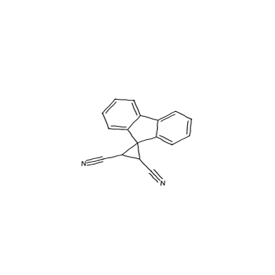 N#CC1C(C#N)C12c1ccccc1-c1ccccc12